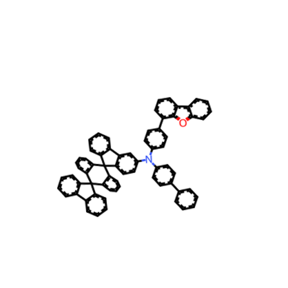 c1ccc(-c2ccc(N(c3ccc(-c4cccc5c4oc4ccccc45)cc3)c3ccc4c(c3)-c3ccccc3C43c4ccccc4C4(c5ccccc5-c5ccccc54)c4ccccc43)cc2)cc1